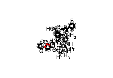 CC(C)[C@H](NC(=O)[C@H](C)NC(=O)OCc1ccccc1)C(=O)N[C@@H](CC(N)=O)C(=O)N[C@@H](CCN(C(=O)CO)[C@@H](c1cc(-c2cc(F)ccc2F)cn1Cc1ccccc1)C(C)(C)C)C(=O)NCCNC(=O)CN1C(=O)C=CC1=O